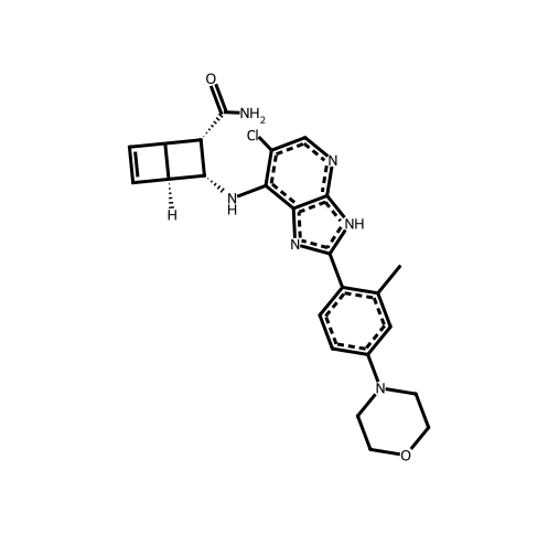 Cc1cc(N2CCOCC2)ccc1-c1nc2c(N[C@@H]3[C@H]4C=CC4[C@@H]3C(N)=O)c(Cl)cnc2[nH]1